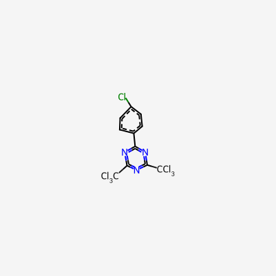 Clc1ccc(-c2nc(C(Cl)(Cl)Cl)nc(C(Cl)(Cl)Cl)n2)cc1